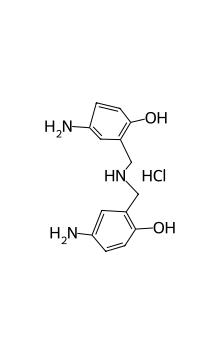 Cl.Nc1ccc(O)c(CNCc2cc(N)ccc2O)c1